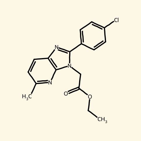 CCOC(=O)Cn1c(-c2ccc(Cl)cc2)nc2ccc(C)nc21